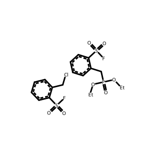 CCOP(=O)(Cc1ccccc1S(=O)(=O)F)OCC.O=S(=O)(F)c1ccccc1CCl